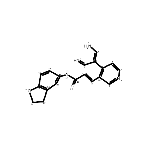 N=C/C(=C\N)c1ccncc1/C=C/C(=O)Nc1ccc2c(c1)CCO2